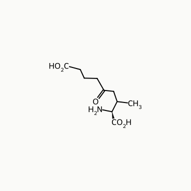 CC(CC(=O)CCCC(=O)O)[C@H](N)C(=O)O